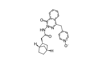 O=C(C[C@H]1C[C@@H]2CC[C@H]1C2)Nn1nc(Cc2cc[n+]([O-])cc2)c2ccccc2c1=O